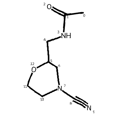 CC(=O)NCC1CN(C#N)CCO1